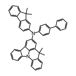 CC1(C)c2ccccc2-c2ccc(N(c3ccc(-c4ccccc4)cc3)c3cc4c5c(c3)c3ccccc3n5-c3ccccc3C4(C)C)cc21